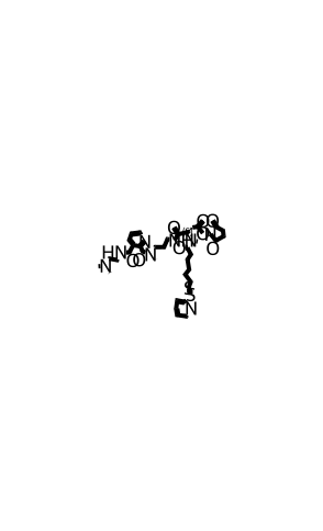 CN(C)CCNC(=O)c1cccnc1C(=O)N(C)CCCNC(=O)[C@H](CC(=O)ON1C(=O)CCC1=O)N(C)C(=O)CCCCCSSc1ccccn1